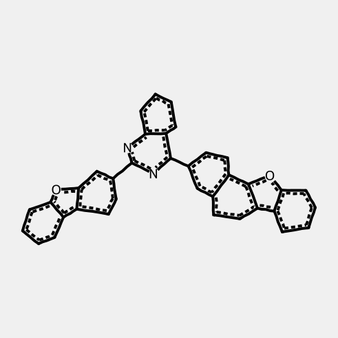 c1ccc2c(-c3ccc4c(ccc5c6ccccc6oc45)c3)nc(-c3ccc4c(c3)oc3ccccc34)nc2c1